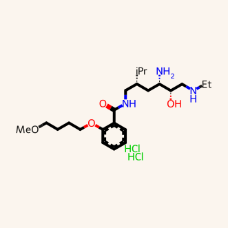 CCNC[C@H](O)[C@@H](N)C[C@H](CNC(=O)c1ccccc1OCCCCOC)C(C)C.Cl.Cl